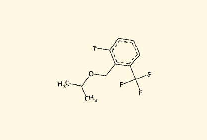 CC(C)OCc1c(F)cccc1C(F)(F)F